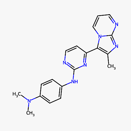 Cc1nc2ncccn2c1-c1ccnc(Nc2ccc(N(C)C)cc2)n1